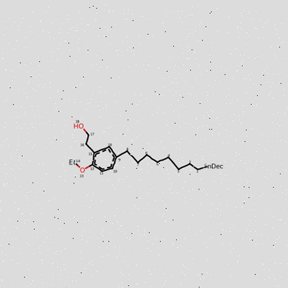 CCCCCCCCCCCCCCCCCCc1ccc(OCC)c(CCO)c1